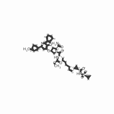 COC(=O)N[C@@H](CCCCC/C=C\[C@@H]1C[C@@H]1C(=O)NS(=O)(=O)C1CC1)C(=O)N1C[C@H](Oc2cc(-c3ccc(C)cc3)nc3c2oc2ccccc23)C[C@H]1C(N)=O